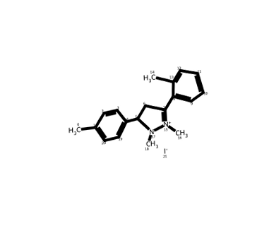 Cc1ccc(C2CC(c3ccccc3C)=[N+](C)N2C)cc1.[I-]